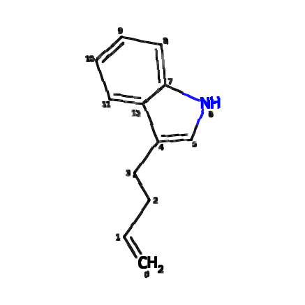 C=CC[CH]c1c[nH]c2ccccc12